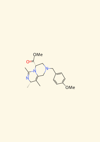 COC(=O)[C@@H]1CN(Cc2ccc(OC)cc2)CC2=C(C)[C@H](C)N=C(C)N21